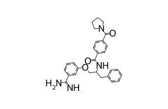 N=C(N)c1cccc(OCC(Cc2ccccc2)NC(=O)c2ccc(C(=O)N3CCCC3)cc2)c1